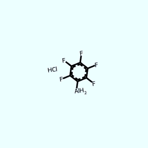 Cl.Fc1c(F)c(F)[c]([AlH2])c(F)c1F